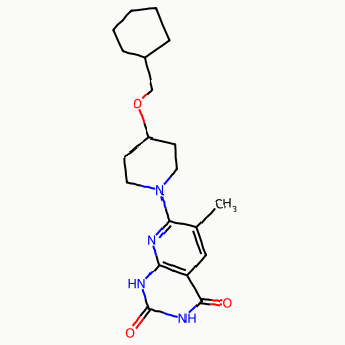 Cc1cc2c(=O)[nH]c(=O)[nH]c2nc1N1CCC(OCC2CCCCC2)CC1